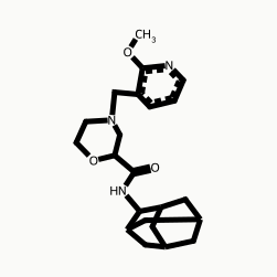 COc1ncccc1CN1CCOC(C(=O)NC2C3CC4CC(C3)CC2C4)C1